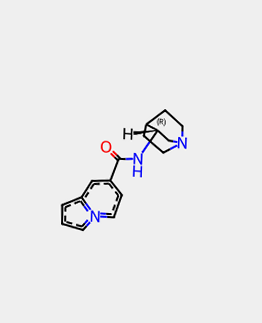 O=C(N[C@H]1CN2CCC1CC2)c1ccn2cccc2c1